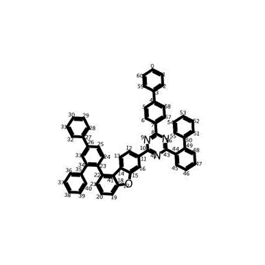 c1ccc(-c2ccc(-c3nc(-c4ccc5c(c4)oc4cccc(-c6ccc(-c7ccccc7)cc6-c6ccccc6)c45)nc(-c4ccccc4-c4ccccc4)n3)cc2)cc1